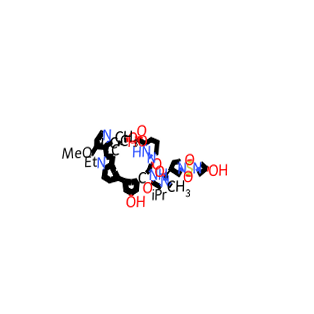 CCn1c(-c2cnccc2COC)c2c3cc(ccc31)-c1cc(O)cc(c1)C[C@H](NC(=O)[C@H](C(C)C)N(C)C(=O)[C@H]1CCN(S(=O)(=O)N3CC(O)C3)C1)C(=O)N1CCC[C@@](O)(N1)C(=O)OCC(C)(C)C2